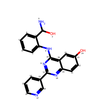 NC(O)c1ccccc1Nc1nc(-c2cccnc2)nc2ccc(O)cc12